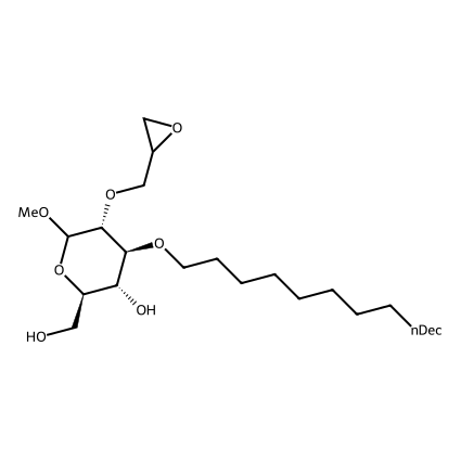 CCCCCCCCCCCCCCCCCCO[C@H]1[C@H](O)[C@@H](CO)OC(OC)[C@@H]1OCC1CO1